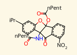 CCCCCC(=O)NC12C(=O)c3c([N+](=O)[O-])cccc3C1(OC(=O)CCCCC)Oc1cc(C(C)C)ccc12